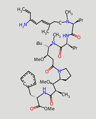 C=C/C(N)=C\C=C(/C)CCN(C)[C@H](C(=O)N[C@H](C(=O)N(C)[C@H]([C@@H](C)CC)[C@@H](CC(=O)N1CCC[C@H]1[C@H](OC)[C@@H](C)C(=O)N[C@@H](Cc1ccccc1)C(=O)OC)OC)C(C)C)C(C)C